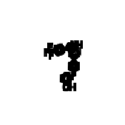 OC1CCCN(Cc2ccc(-c3cnc4[nH]cc(-c5ccc(C(F)(F)F)cc5)c4c3)cc2)C1